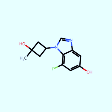 CC1(O)CC(n2cnc3cc(O)cc(F)c32)C1